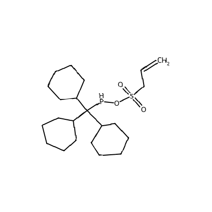 C=CCS(=O)(=O)OPC(C1CCCCC1)(C1CCCCC1)C1CCCCC1